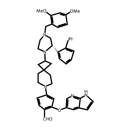 COc1ccc(CN2CCN(C3CC4(CCN(c5ccc(C=O)c(Oc6cnc7[nH]ccc7c6)c5)CC4)C3)[C@@H](c3ccccc3C(C)C)C2)c(OC)c1